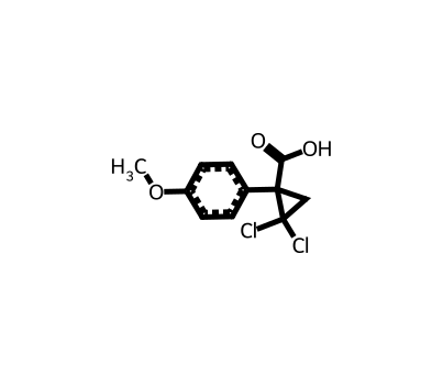 COc1ccc(C2(C(=O)O)CC2(Cl)Cl)cc1